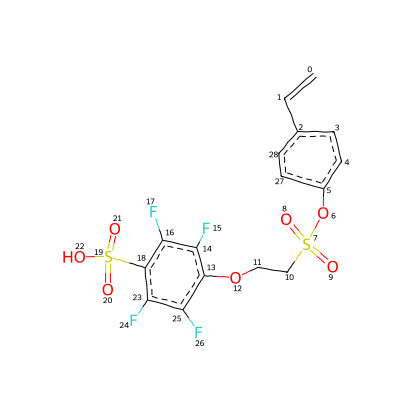 C=Cc1ccc(OS(=O)(=O)CCOc2c(F)c(F)c(S(=O)(=O)O)c(F)c2F)cc1